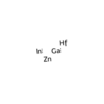 [Ga].[Hf].[In].[Zn]